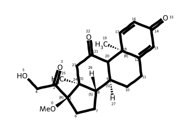 CO[C@]1(C(=O)CO)CC[C@H]2[C@@H]3CCC4=CC(=O)C=C[C@]4(C)C3C(=O)C[C@@]21C